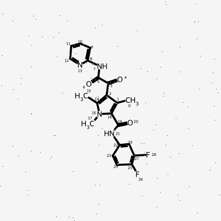 Cc1c(C(=O)C(=O)Nc2ccccn2)c(C)n(C)c1C(=O)Nc1ccc(F)c(F)c1